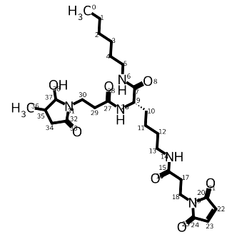 CCCCCCNC(=O)[C@H](CCCCNC(=O)CCN1C(=O)C=CC1=O)NC(=O)CCN1C(=O)CC(C)C1O